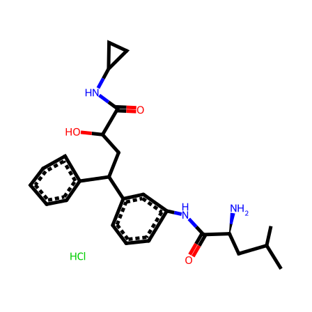 CC(C)C[C@H](N)C(=O)Nc1cccc(C(CC(O)C(=O)NC2CC2)c2ccccc2)c1.Cl